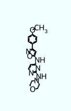 COc1ccc(-c2cc(Nc3ccnc(NN4CCOCC4)n3)on2)cc1